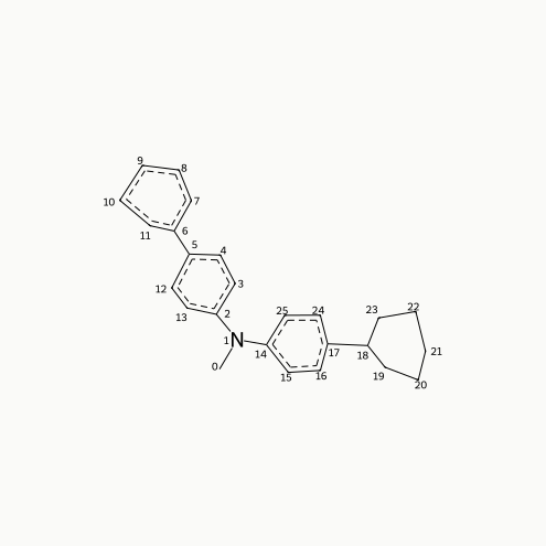 CN(c1ccc(-c2ccccc2)cc1)c1ccc(C2CCCCC2)cc1